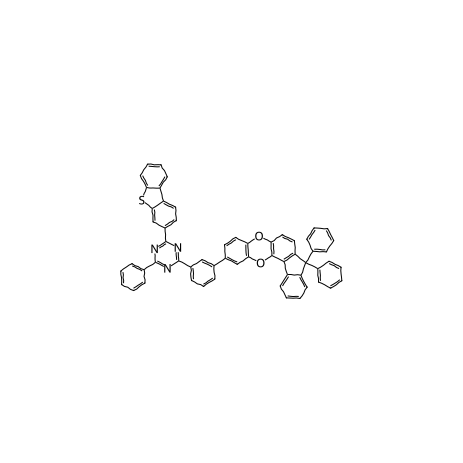 c1ccc(-c2nc(-c3cccc(-c4ccc5c(c4)Oc4c(ccc6c4-c4ccccc4C6(c4ccccc4)c4ccccc4)O5)c3)nc(-c3ccc4c(c3)sc3ccccc34)n2)cc1